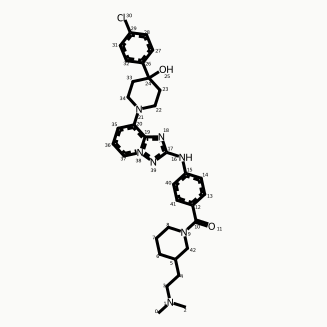 CN(C)CCC1CCCN(C(=O)c2ccc(Nc3nc4c(N5CCC(O)(c6ccc(Cl)cc6)CC5)cccn4n3)cc2)C1